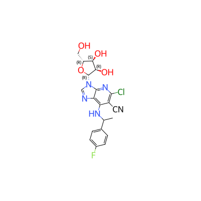 CC(Nc1c(C#N)c(Cl)nc2c1ncn2[C@@H]1O[C@H](CO)[C@@H](O)[C@H]1O)c1ccc(F)cc1